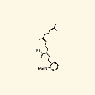 C=C(CC)/C(=C\Cc1ccccc1NC)CC/C=C(\C)CCC=C(C)C